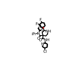 CC(C)N(C(=O)C1(C(=O)Nc2ccc(Cl)cn2)CCNC(c2ccc(F)c(F)c2)C1)c1cncs1